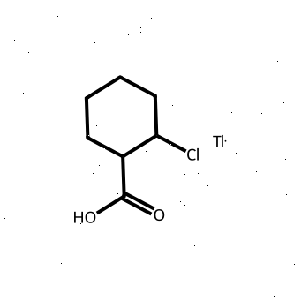 O=C(O)C1CCCCC1Cl.[Tl]